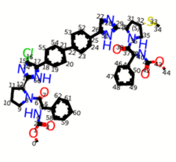 COC(=O)N[C@H](C(=O)N1CCC[C@H]1c1nc(Cl)c(-c2ccc(-c3ccc(-c4cnc([C@@H]5C[C@H](SC)CN5C(=O)[C@H](NC(=O)OC)c5ccccc5)[nH]4)cc3)cc2)[nH]1)c1ccccc1